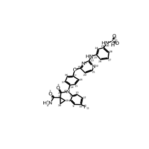 NC(=O)C1(C(=O)N(c2ccc(F)cc2)c2ccc(Oc3ccnc(Nc4cccc(N[SH](=O)=O)c4)n3)cc2)CC1